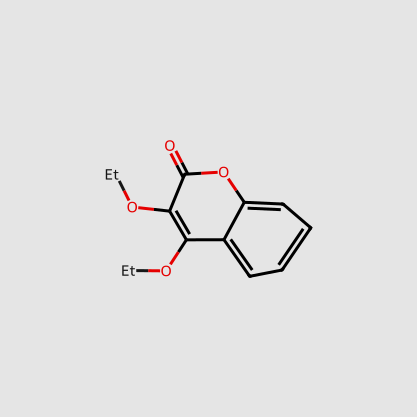 CCOc1c(OCC)c2ccccc2oc1=O